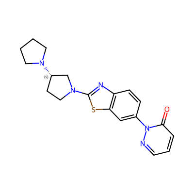 O=c1cccnn1-c1ccc2nc(N3CC[C@H](N4CCCC4)C3)sc2c1